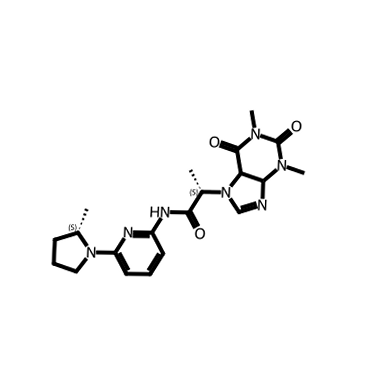 C[C@H]1CCCN1c1cccc(NC(=O)[C@H](C)N2C=NC3C2C(=O)N(C)C(=O)N3C)n1